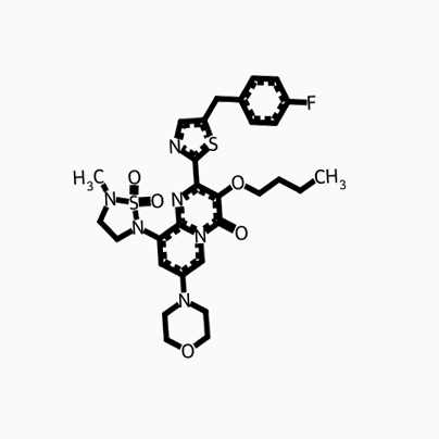 CCCCOc1c(-c2ncc(Cc3ccc(F)cc3)s2)nc2c(N3CCN(C)S3(=O)=O)cc(N3CCOCC3)cn2c1=O